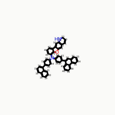 C1=Cc2cc3oc4c(N(c5ccc(-c6cccc7ccccc67)cc5)c5ccc(-c6cc7ccccc7c7ccccc67)cc5)cccc4c3cc2NC1